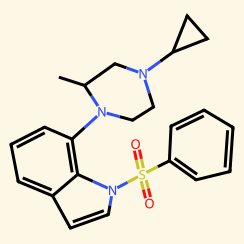 CC1CN(C2CC2)CCN1c1cccc2ccn(S(=O)(=O)c3ccccc3)c12